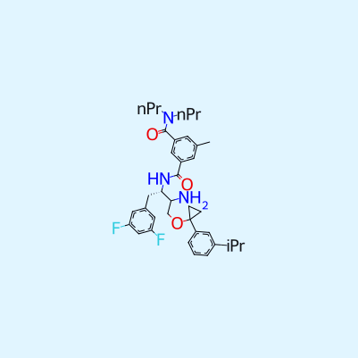 CCCN(CCC)C(=O)c1cc(C)cc(C(=O)N[C@@H](Cc2cc(F)cc(F)c2)C(N)COC2(c3cccc(C(C)C)c3)CC2)c1